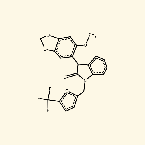 COc1cc2c(cc1C1C(=O)N(Cc3ccc(C(F)(F)F)o3)c3ccccc31)OCO2